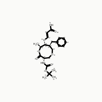 C[C@@H]1OC(=O)[C@@H](NC(=O)OC(C)(C)C)COC[C@H](Cc2ccccc2)[C@H]1OC=CC(=O)O